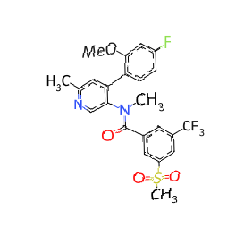 COc1cc(F)ccc1-c1cc(C)ncc1N(C)C(=O)c1cc(C(F)(F)F)cc(S(C)(=O)=O)c1